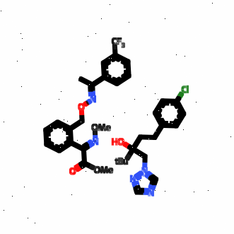 CC(C)(C)C(O)(CCc1ccc(Cl)cc1)Cn1cncn1.CO/N=C(/C(=O)OC)c1ccccc1CO/N=C(\C)c1cccc(C(F)(F)F)c1